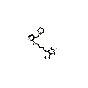 Nc1n[s+]([O-])nc1NCCCOc1sccc1CN1CCCC1